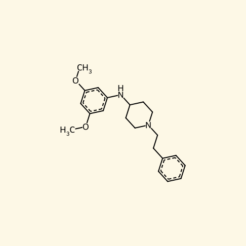 COc1cc(NC2CCN(CCc3ccccc3)CC2)cc(OC)c1